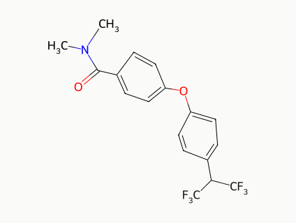 CN(C)C(=O)c1ccc(Oc2ccc(C(C(F)(F)F)C(F)(F)F)cc2)cc1